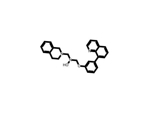 ON(COc1cccc(-c2cccc3cccnc23)c1)CN1CCc2ccccc2C1